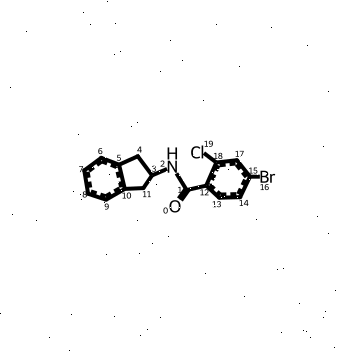 O=C(NC1Cc2ccccc2C1)c1ccc(Br)cc1Cl